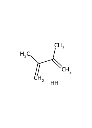 C=C(C)C(=C)C.[HH]